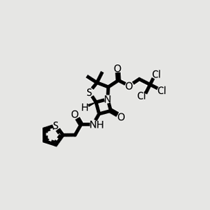 CC1(C)S[C@H]2C(NC(=O)Cc3cccs3)C(=O)N2C1C(=O)OCC(Cl)(Cl)Cl